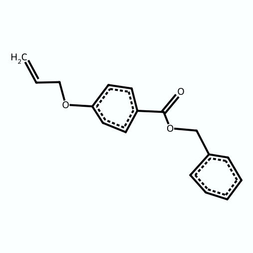 C=CCOc1ccc(C(=O)OCc2ccccc2)cc1